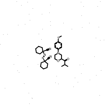 CSc1ccc(N2CCOC(C(=O)C(C)C)C2)cc1.N#CC1(N=NC2(C#N)CCCCC2)CCCCC1